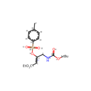 CCOC(=O)/C=C(/CNC(=O)OC(C)(C)C)OS(=O)(=O)c1ccc(C)cc1